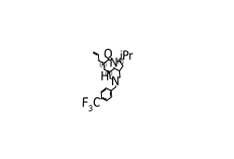 C=CC[C@@H]1C[C@@H]2CN(Cc3ccc(C(F)(F)F)cc3)CC3C[C@H](C(C)C)N(C1=O)C32